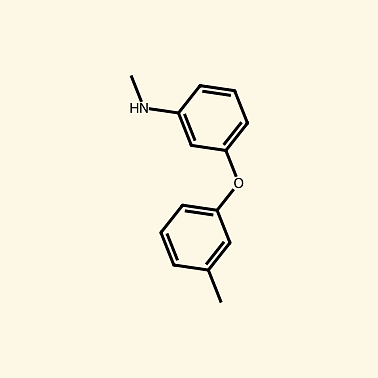 CNc1cccc(Oc2cccc(C)c2)c1